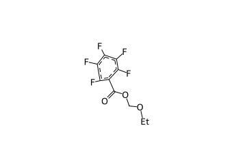 CCOCOC(=O)c1c(F)c(F)c(F)c(F)c1F